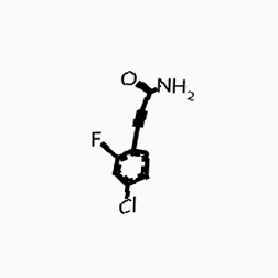 NC(=O)C#Cc1ccc(Cl)cc1F